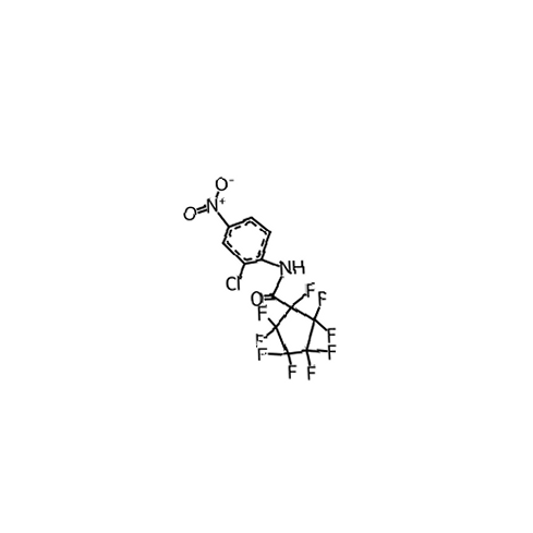 O=C(Nc1ccc([N+](=O)[O-])cc1Cl)C1(F)C(F)(F)C(F)(F)C(F)(F)C1(F)F